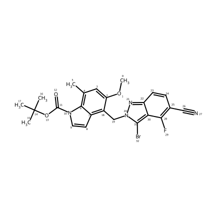 COc1cc(C)c2c(ccn2C(=O)OC(C)(C)C)c1Cn1nc2ccc(C#N)c(F)c2c1Br